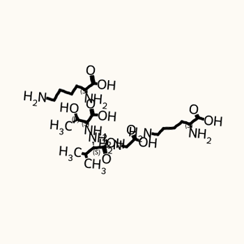 CC(C)[C@H](N)C(=O)O.C[C@@H](O)[C@H](N)C(=O)O.NCC(=O)O.NCCCC[C@H](N)C(=O)O.NCCCC[C@H](N)C(=O)O